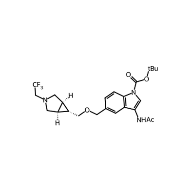 CC(=O)Nc1cn(C(=O)OC(C)(C)C)c2ccc(COC[C@@H]3[C@H]4CN(CC(F)(F)F)C[C@@H]34)cc12